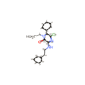 O=C(O)Cn1c(-c2ccccc2)c(Cl)nc(NCCc2ccccc2)c1=O